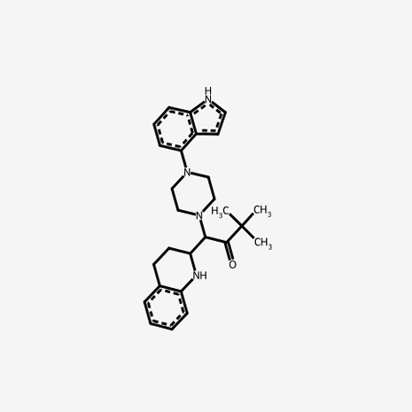 CC(C)(C)C(=O)C(C1CCc2ccccc2N1)N1CCN(c2cccc3[nH]ccc23)CC1